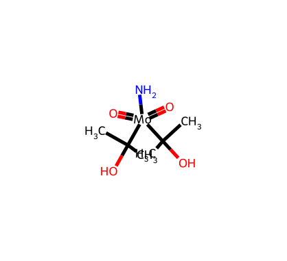 C[C](C)(O)[Mo]([NH2])(=[O])(=[O])[C](C)(C)O